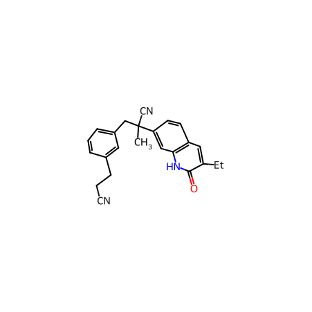 CCc1cc2ccc(C(C)(C#N)Cc3cccc(CCC#N)c3)cc2[nH]c1=O